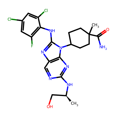 C[C@@H](CO)Nc1ncc2nc(Nc3c(F)cc(Cl)cc3Cl)n(C3CCC(C)(C(N)=O)CC3)c2n1